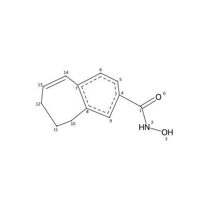 O=C(NO)c1ccc2c(c1)CCCC=C2